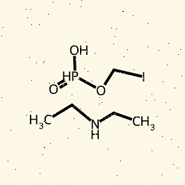 CCNCC.O=[PH](O)OCI